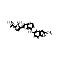 Cc1cc2cc(Nc3ccnc4cc(-c5cnc(C(N)=O)n5C)sc34)ccc2[nH]1